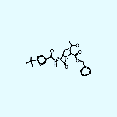 CC(=O)N1CC2[C@H](NC(=O)c3ccc(C(C)(C)C)cc3)C(=O)N2C1C(=O)OCc1ccccc1